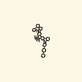 c1ccc(-c2ccc(-c3ccc(-n4c5ccccc5c5cc6c7cc8c9ccccc9n(-c9ccccc9-c9ccccc9)c8cc7c7nccnc7c6cc54)cc3)cc2)cc1